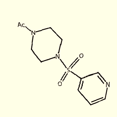 CC(=O)N1CCN(S(=O)(=O)c2cccnc2)CC1